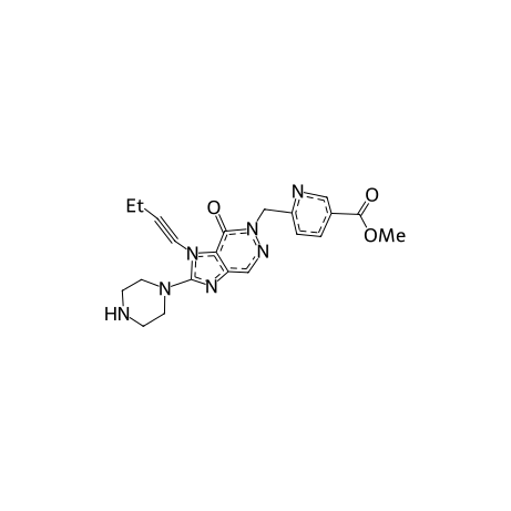 CCC#Cn1c(N2CCNCC2)nc2cnn(Cc3ccc(C(=O)OC)cn3)c(=O)c21